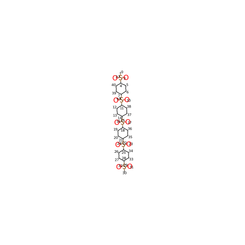 CS(=O)(=O)C1CCC(S(=O)(=O)C2CCC(S(=O)(=O)C3CCC(S(=O)(=O)C4CCC(S(C)(=O)=O)CC4)CC3)CC2)CC1